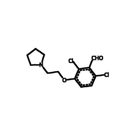 O=Cc1c(Cl)ccc(OCCN2CCCC2)c1Cl